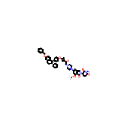 COc1cc(N2CCN(CC(=O)C3CC(Oc4ccc([C@@H]5c6ccc(OCc7ccccc7)cc6CC[C@@H]5c5ccccc5)cc4)C3)CC2)cc2c1C(=O)N(C1CCC(=O)NC1=O)C2